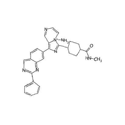 CNC(=O)C1CCC(C2=NC(c3ccc4cnc(-c5ccccc5)nc4c3)=C3C=NC=C[N+]23N)CC1